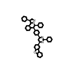 c1ccc(-c2nc(-c3ccc(-c4c(-c5ccccc5)n5ncc(-c6ccccc6)c5c5ccccc45)cc3)cc(-c3ccc4oc5ccccc5c4c3)n2)cc1